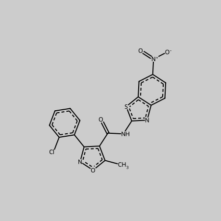 Cc1onc(-c2ccccc2Cl)c1C(=O)Nc1nc2ccc([N+](=O)[O-])cc2s1